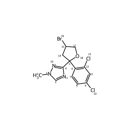 Cn1cnc(C2(c3ccc(Cl)cc3Cl)CC(Br)CO2)n1